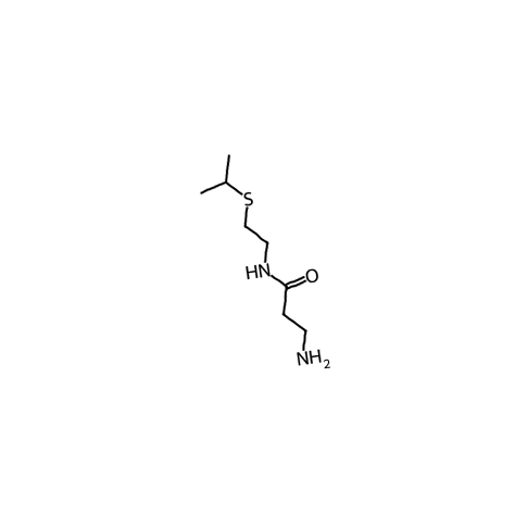 CC(C)SCCNC(=O)CCN